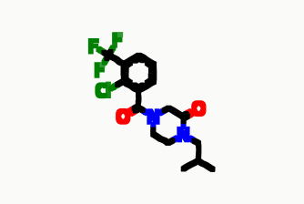 CC(C)CN1CCN(C(=O)c2cccc(C(F)(F)F)c2Cl)CC1=O